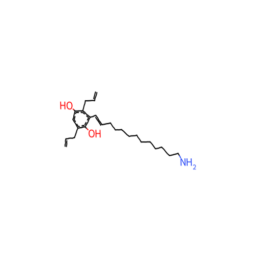 C=CCc1cc(O)c(CC=C)c(C=CCCCCCCCCCCCN)c1O